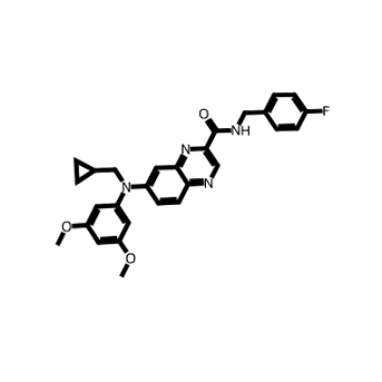 COc1cc(OC)cc(N(CC2CC2)c2ccc3ncc(C(=O)NCc4ccc(F)cc4)nc3c2)c1